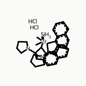 Cl.Cl.[CH3][Zr]([CH3])(=[SiH2])([CH]1C(N2CCCC2)=Cc2ccc3ccccc3c21)[CH]1C(N2CCCC2)=Cc2ccc3ccccc3c21